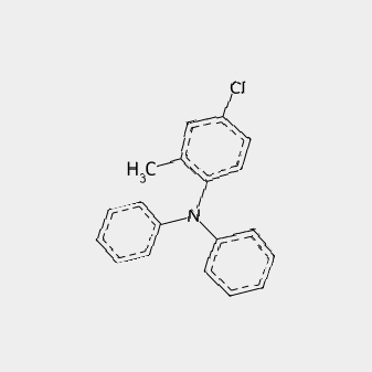 Cc1cc(Cl)ccc1N(c1ccccc1)c1ccccc1